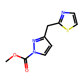 COC(=O)n1c[c]c(Cc2nccs2)n1